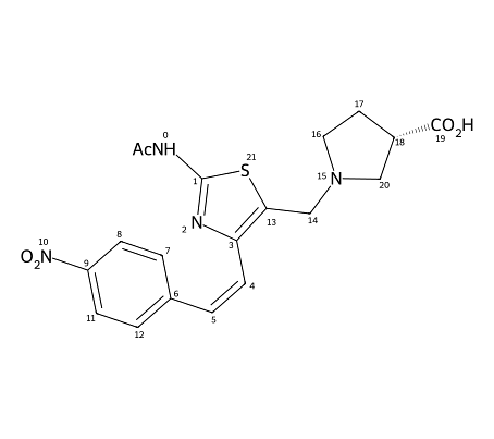 CC(=O)Nc1nc(/C=C\c2ccc([N+](=O)[O-])cc2)c(CN2CC[C@H](C(=O)O)C2)s1